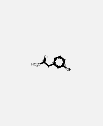 O=C(O)C(=O)Cc1cccc(O)c1